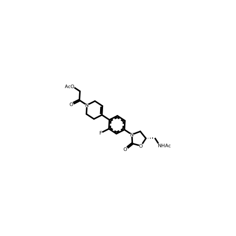 CC(=O)NC[C@H]1CN(c2ccc(C3=CCN(C(=O)COC(C)=O)CC3)c(F)c2)C(=O)O1